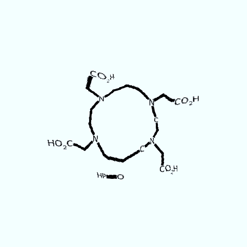 O=C(O)CN1CCCN(CC(=O)O)CCN(CC(=O)O)CCCN(CC(=O)O)CC1.O=P